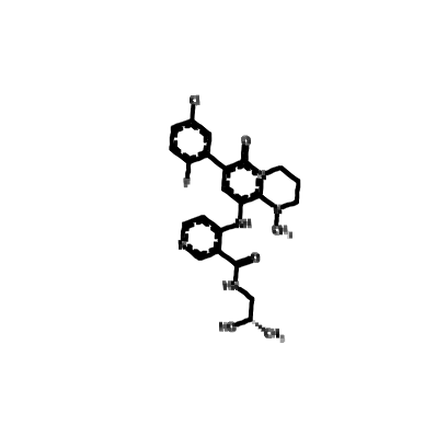 C[C@H](O)CNC(=O)c1cnccc1Nc1cc(-c2cc(Cl)ccc2F)c(=O)n2c1N(C)CCC2